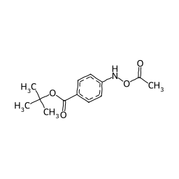 CC(=O)ONc1ccc(C(=O)OC(C)(C)C)cc1